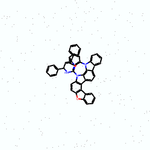 C1=C(c2ccccc2)N=C(n2c3ccc4oc5ccccc5c4c3c3ccc4c5ccccc5n(-c5ccccc5)c4c32)NC1c1ccccc1